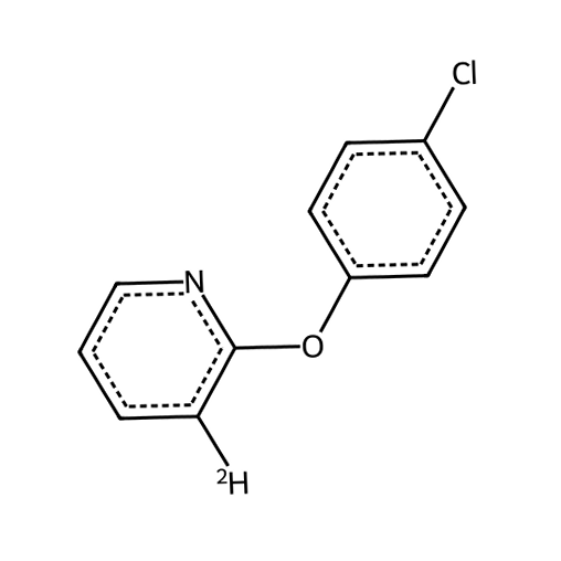 [2H]c1cccnc1Oc1ccc(Cl)cc1